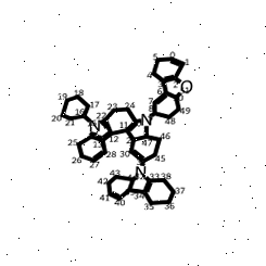 C1=CC2=C(CC1)C1=CC(N3C4=C(c5c6c(n(C7CCCCC7)c5CC4)CCC=C6)C4C=C(N5C6=C(CCCC6)C6C=CCCC65)CCC43)CCC1O2